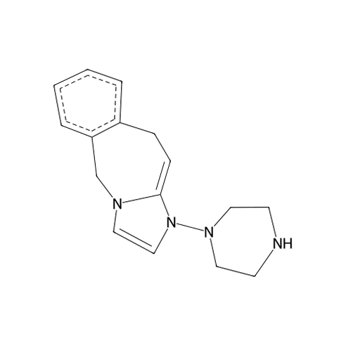 C1=CN(N2CCNCC2)C2=CCc3ccccc3CN12